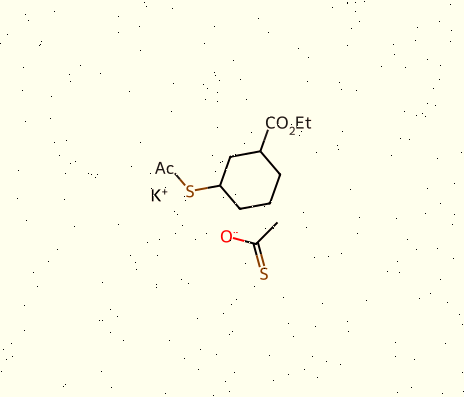 CC([O-])=S.CCOC(=O)C1CCCC(SC(C)=O)C1.[K+]